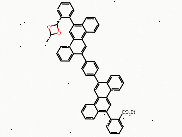 CCOC(=O)c1ccccc1-c1cc2c3ccccc3c(-c3ccc(-c4cc5c6ccccc6c(-c6ccccc6C6OC(C)O6)cc5c5ccccc45)cc3)cc2c2ccccc12